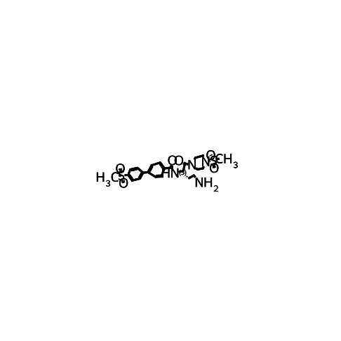 CS(=O)(=O)c1ccc(-c2ccc(C(=O)N[C@@H](CCN)C(=O)N3CCN(S(C)(=O)=O)CC3)cc2)cc1